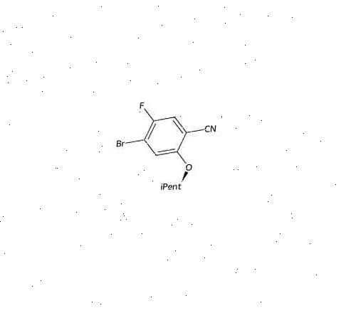 CCC[C@H](C)Oc1cc(Br)c(F)cc1C#N